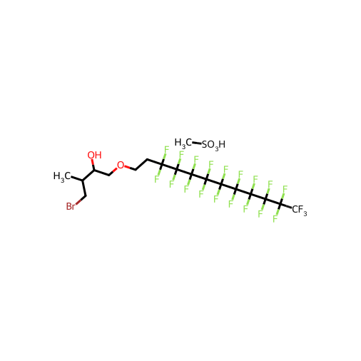 CC(CBr)C(O)COCCC(F)(F)C(F)(F)C(F)(F)C(F)(F)C(F)(F)C(F)(F)C(F)(F)C(F)(F)C(F)(F)C(F)(F)F.CS(=O)(=O)O